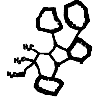 C=CC1(C)c2ccccc2N2c3nccc(-c4ccccc4)c3N(c3ccccc3)C2C1C